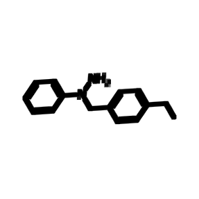 CCc1ccc(CN(N)c2ccccc2)cc1